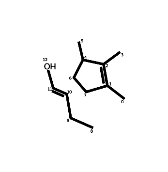 CC1=C(C)C(C)CC1.CCC=CO